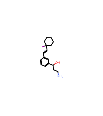 NCCC(O)c1cccc(/C=C/C2(I)CCCCC2)c1